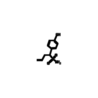 C=CCC(c1ccc(O)cc1)S(N)(=O)=O